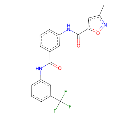 Cc1cc(C(=O)Nc2cccc(C(=O)Nc3cccc(C(F)(F)F)c3)c2)on1